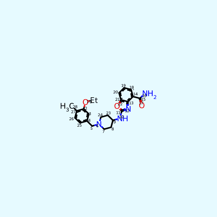 CCOc1cc(CN2CCC(Nc3nc4c(C(N)=O)[c]ccc4o3)CC2)ccc1C